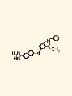 CCC1CN(Cc2ccccc2)Cc2ccc(C3CC3c3ccc4cc(C(=N)N)ccc4c3)cc21